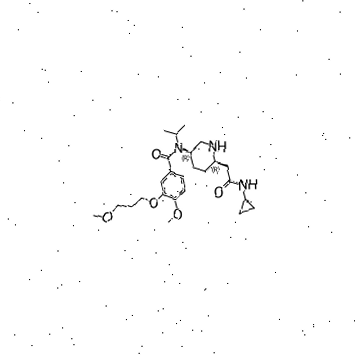 COCCCOc1cc(C(=O)N(C(C)C)[C@@H]2CC[C@H](CC(=O)NC3CC3)NC2)ccc1OC